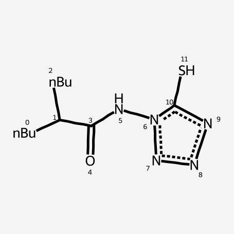 CCCCC(CCCC)C(=O)Nn1nnnc1S